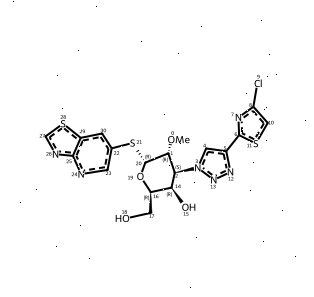 CO[C@@H]1[C@@H](n2cc(-c3nc(Cl)cs3)nn2)[C@@H](O)[C@@H](CO)O[C@@H]1Sc1cnc2ncsc2c1